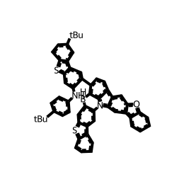 CC(C)(C)c1ccc(Nc2cc3sc4ccc(C(C)(C)C)cc4c3cc2-c2ccc3c4cc5oc6ccccc6c5cc4n4c3c2Bc2cc3sc5ccccc5c3cc2-4)cc1